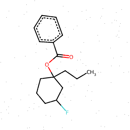 CCCC1(OC(=O)c2ccccc2)CCCC(F)C1